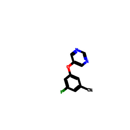 N#Cc1cc(F)cc(Oc2cncnc2)c1